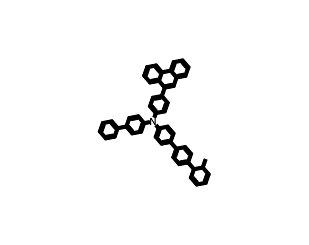 CC1C=CC=CC1c1ccc(-c2ccc(N(c3ccc(-c4ccccc4)cc3)c3ccc(-c4cc5ccccc5c5ccccc45)cc3)cc2)cc1